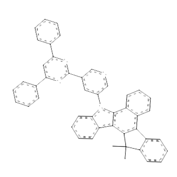 CC1(C)c2ccccc2-c2c1c1c3ccccc3n(-c3cncc(-c4nc(-c5ccccc5)cc(-c5ccccc5)n4)c3)c1c1ccccc21